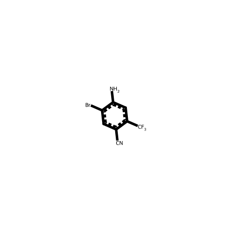 N#Cc1cc(Br)c(N)cc1C(F)(F)F